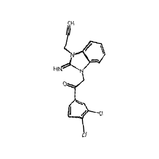 C#CCn1c(=N)n(CC(=O)c2ccc(Cl)c(Cl)c2)c2ccccc21